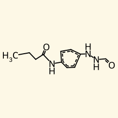 CCCC(=O)Nc1ccc(NNC=O)cc1